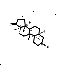 C[C@@]12CC[C@H](O)C[C@@H]1CC[C@H]1[C@H]2CC[C@@]2(C)C(=O)CC[C@H]12